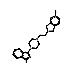 Fc1ccc2c(c1)CN(CCN1CCN(c3n[nH]c4ccccc34)CC1)C2